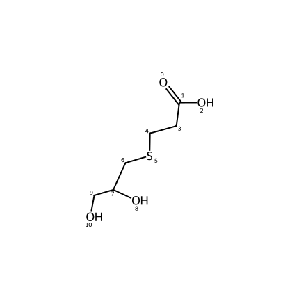 O=C(O)CCSCC(O)CO